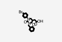 O=C(O)CC1CN(Cc2ccccc2Cl)C(=O)N(c2ccc(Br)cc2)C1